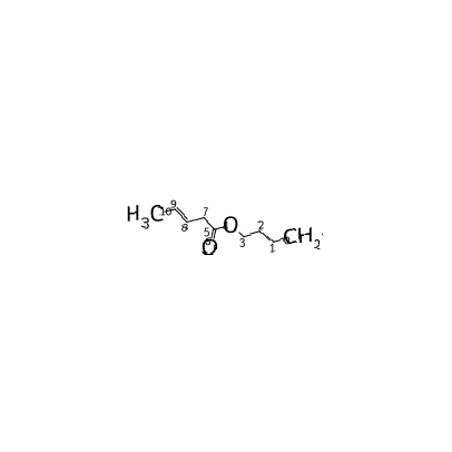 [CH2]CCCOC(=O)CC=CC